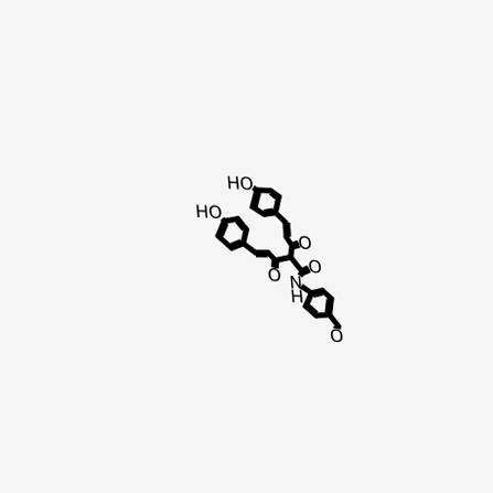 O=Cc1ccc(NC(=O)C(C(=O)/C=C/c2ccc(O)cc2)C(=O)/C=C/c2ccc(O)cc2)cc1